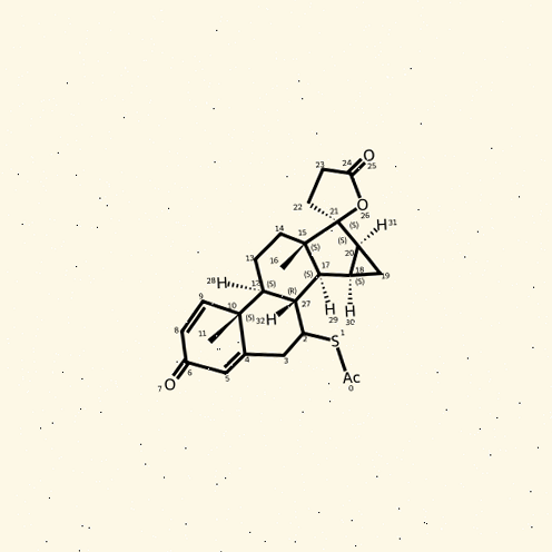 CC(=O)SC1CC2=CC(=O)C=C[C@]2(C)[C@H]2CC[C@@]3(C)[C@@H]([C@@H]4C[C@@H]4[C@@]34CCC(=O)O4)[C@H]12